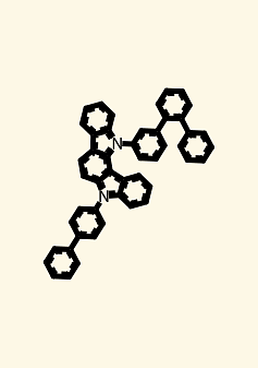 c1ccc(-c2ccc(-n3c4ccccc4c4c3ccc3c5ccccc5n(-c5cccc(-c6ccccc6-c6ccccc6)c5)c34)cc2)cc1